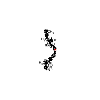 Cc1ncsc1-c1ccc(C(C)NC(=O)[C@@H]2C[C@@H](O)CN2C(=O)C(NC(=O)CN2CCN(CCCN3CCN(c4ccc(C(=O)N[C@H]5C(C)(C)[C@H](Oc6ccc(C#N)c(C(F)(F)F)c6)C5(C)C)cn4)CC3)CC2)C(C)(C)C)cc1